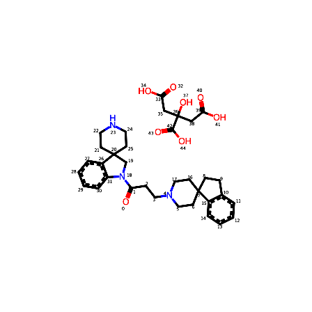 O=C(CCN1CCC2(CCc3ccccc32)CC1)N1CC2(CCNCC2)c2ccccc21.O=C(O)CC(O)(CC(=O)O)C(=O)O